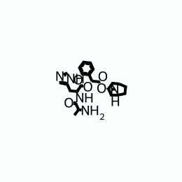 CC(N)C(=O)NC(Cc1cnc[nH]1)C(=O)OC(C(=O)O[C@@H]1CC2CC[C@H](C1)N2C)c1ccccc1